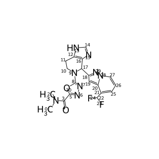 CN(C)C(=O)c1nnc(N2CCc3[nH]cnc3C2c2cc3c(C(F)F)cccn3n2)o1